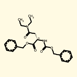 CCN(CC)C(=O)C[C@H](NC(=O)OCc1ccccc1)C(=O)OCc1ccccc1